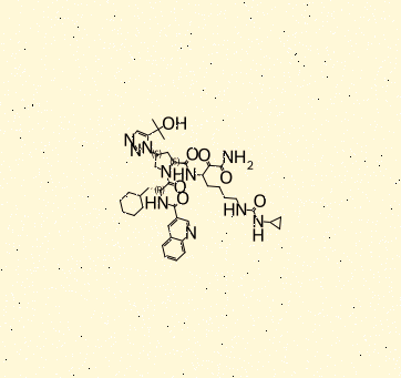 CC(C)(O)c1cnnn1[C@H]1C[C@@H](C(=O)NC(CCCCNC(=O)NC2CC2)C(=O)C(N)=O)N(C(=O)[C@@H](CC2CCCCC2)NC(=O)c2cnc3ccccc3c2)C1